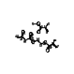 C=C(C)C(=O)OC.C=C(C)C(=O)OCCOC(=O)CC(C)=O